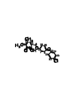 Cc1cc(COc2ccc(Oc3ccc(Cl)cc3)cc2)n(O)c(=O)c1C